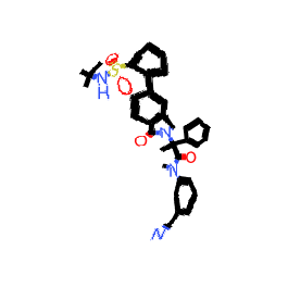 CN(C(=O)C(C)(c1ccccc1)N1Cc2cc(-c3ccccc3S(=O)(=O)NC(C)(C)C)ccc2C1=O)c1cccc(C#N)c1